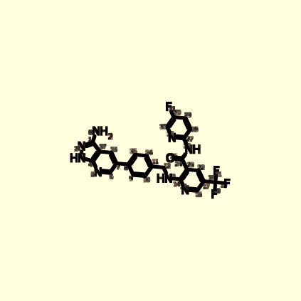 Nc1n[nH]c2ncc(-c3ccc(CNc4ncc(C(F)(F)F)cc4C(=O)Nc4ccc(F)cn4)cc3)cc12